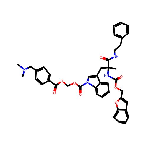 CN(C)Cc1ccc(C(=O)OCOC(=O)n2cc(CC(C)(NC(=O)OCc3cc4ccccc4o3)C(=O)NCCc3ccccc3)c3ccccc32)cc1